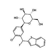 OC[C@H]1O[C@@H](c2ccc(Cl)c(C(F)c3cc4ccccc4s3)c2)[C@H](O)[C@@H](O)[C@@H]1O